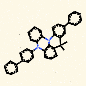 CC1(C)c2cc(-c3ccccc3)ccc2N2c3ccccc3N(c3ccc(-c4ccccc4)cc3)c3cccc1c32